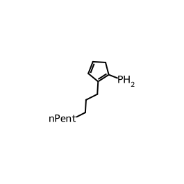 CCCCCCCCC1=C(P)CC=C1